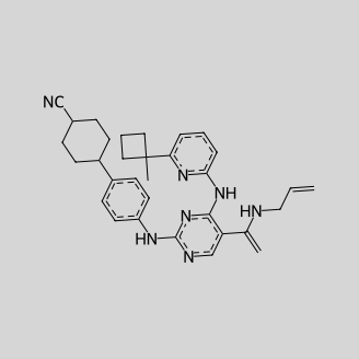 C=CCNC(=C)c1cnc(Nc2ccc(C3CCC(C#N)CC3)cc2)nc1Nc1cccc(C2(C)CCC2)n1